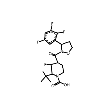 CC(C)(C)C1C(F)C(C(=O)N2OCCC2c2cc(F)cc(F)c2F)CCN1C(=O)O